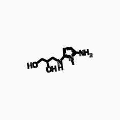 Cn1c(N)ccc1NCC(O)CO